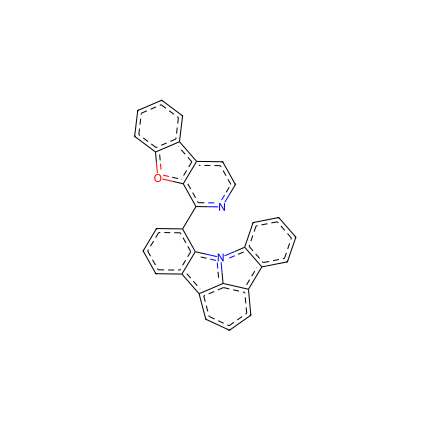 c1ccc2c(c1)oc1c(-c3cccc4c5cccc6c7ccccc7n(c34)c65)nccc12